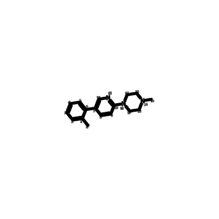 Cc1ccccc1-c1ccc(N2CCN(C)CC2)nc1